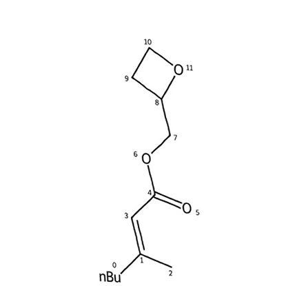 CCCCC(C)=CC(=O)OCC1CCO1